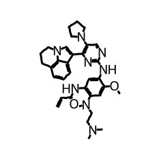 C=CC(=O)Nc1cc(Nc2ncc(N3CCCC3)c(-c3cn4c5c(cccc35)CCC4)n2)c(OC)cc1N(C)CCN(C)C